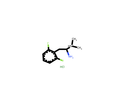 C[SiH](C)C(N)Cc1c(F)cccc1F.Cl